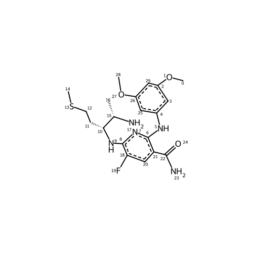 COc1cc(Nc2nc(N[C@H](CCSC)[C@H](C)N)c(F)cc2C(N)=O)cc(OC)c1